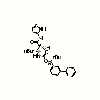 CCCC[C@H](NC(=O)O[C@@H](c1cccc(-c2ccccc2)c1)C(C)(C)C)[C@@H](O)C(=O)Nc1ccn[nH]1